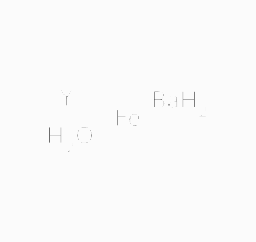 O.[BaH2].[Fe].[Y]